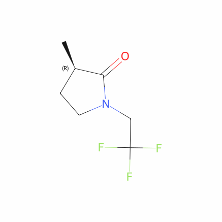 C[C@@H]1CCN(CC(F)(F)F)C1=O